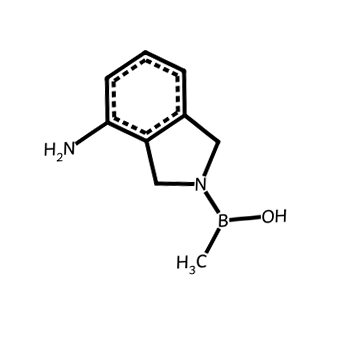 CB(O)N1Cc2cccc(N)c2C1